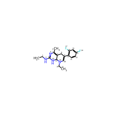 CCNC1=NC(C)=C2CC(c3ccc(F)cc3F)=CN(CC)C2N1